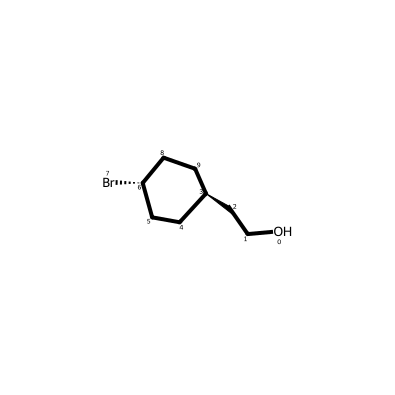 OCC[C@H]1CC[C@H](Br)CC1